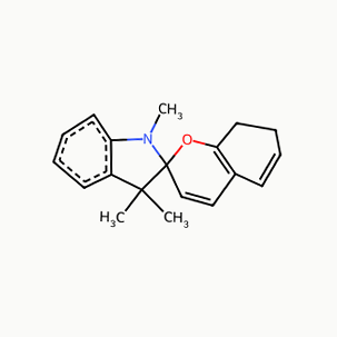 CN1c2ccccc2C(C)(C)C12C=CC1=C(CCC=C1)O2